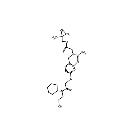 CC(C)(C)COC(=O)CN1Cc2ccc(OCC(=O)N(CCO)C3CCCCC3)cc2N=C1N